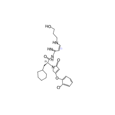 N=C(/C=C\NCCCO)NC(=O)[C@H](CC1CCCCC1)N1CC(Oc2ccccc2Cl)=CC1=O